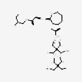 C=C(C)C(=O)O.C=CC(=O)OCC(CC)CO.O=C1CCCCCO1.OCC(CO)(CO)CO.OCC(CO)(CO)CO